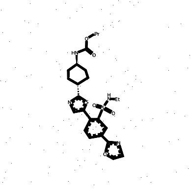 CCNS(=O)(=O)c1cc(-c2ncco2)ccc1-c1cnc([C@H]2CC[C@H](NC(=O)OC(C)C)CC2)s1